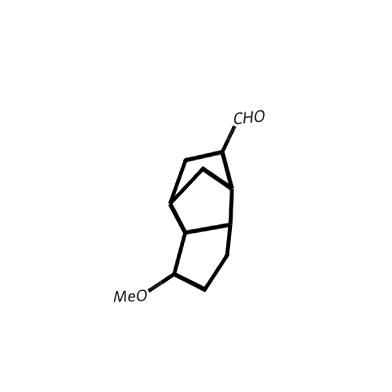 COC1CCC2C3CC(CC3C=O)C12